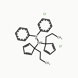 CCC[C]1([Hf+2]([SiH](c2ccccc2)c2ccccc2)[C]2(CCC)C=CC=C2)C=CC=C1.[Cl-].[Cl-]